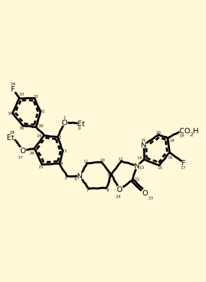 CCOc1cc(CN2CCC3(CC2)CN(c2cc(F)c(C(=O)O)cn2)C(=O)O3)cc(OCC)c1-c1ccc(F)cc1